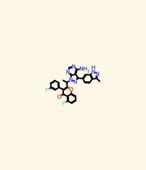 Cc1n[nH]c2cc(-c3nn(C(C)c4oc5cccc(F)c5c(=O)c4-c4cccc(F)c4)c4ncnc(N)c34)ccc12